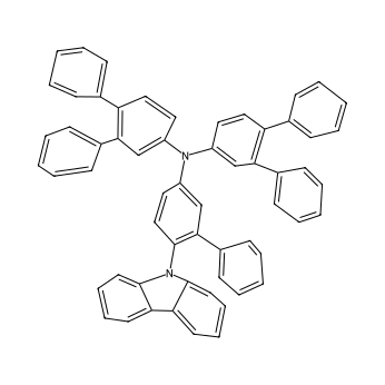 c1ccc(-c2ccc(N(c3ccc(-c4ccccc4)c(-c4ccccc4)c3)c3ccc(-n4c5ccccc5c5ccccc54)c(-c4ccccc4)c3)cc2-c2ccccc2)cc1